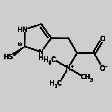 C[N+](C)(C)C(CC1=CN[C@H](S)N1)C(=O)[O-]